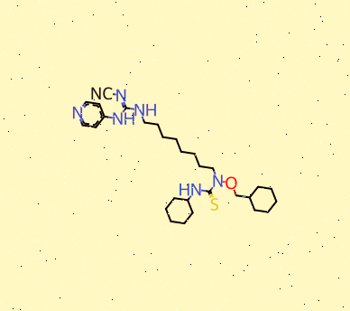 N#CN=C(NCCCCCCCCN(OCC1CCCCC1)C(=S)NC1CCCCC1)Nc1ccncc1